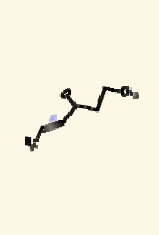 C/C=C/C([O])CCC